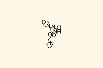 COC1(OCCc2ccccn2)C=C(N2CCOCC2)N=C(Cl)N1